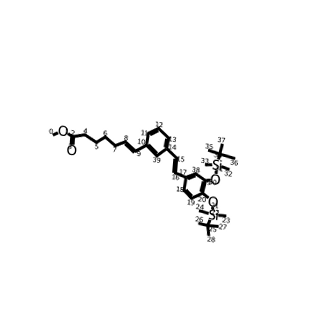 COC(=O)CCCCC=Cc1cccc(C=Cc2ccc(O[Si](C)(C)C(C)(C)C)c(O[Si](C)(C)C(C)(C)C)c2)c1